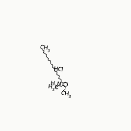 CCCCCCCCCCCCCCCCCCCC(N)c1cccc(CCC)c1CCC.Cl